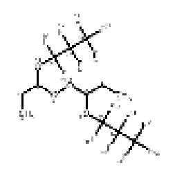 CCC(OOC(CC)OC(F)(F)C(F)(F)C(F)(F)F)OC(F)(F)C(F)(F)C(F)(F)F